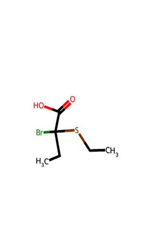 CCSC(Br)(CC)C(=O)O